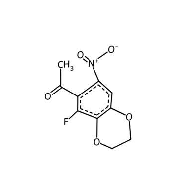 CC(=O)c1c([N+](=O)[O-])cc2c(c1F)OCCO2